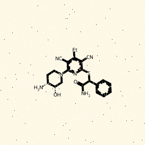 CCc1c(C#N)c(SC(C(N)=O)c2ccccc2)nc(N2CC[C@@H](N)[C@@H](O)C2)c1C#N